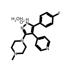 CN1CCN(c2n[nH]c(-c3ccc(F)cc3)c2-c2ccncc2)CC1.O.O